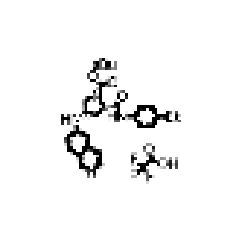 CCc1ccc(NC(=O)[C@@H]2C[C@@H](Nc3ccc4cnccc4c3)CN2C(=O)OC(C)(C)C)cc1.O=C(O)C(F)(F)F